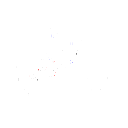 CCC(CC(=O)Oc1ccccc1C1=CC2=CC3=NC(=CC4=NC(=CC5=NC(=C(c6ccccc6OC(=O)CC(CC)C(C)C)C1=N2)C(c1ccccc1OC(=O)CC(CC)C(C)C)=C5c1ccccc1OC(=O)CC(CC)C(C)C)C=C4)C=C3)C(C)C